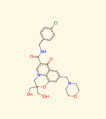 O=C(NCc1ccc(Cl)cc1)c1cn2c3c(cc(CN4CCOCC4)cc3c1=O)OC(CO)(CO)C2